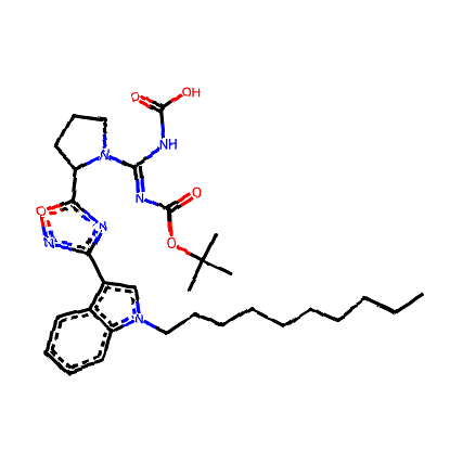 CCCCCCCCCCn1cc(-c2noc(C3CCCN3C(=NC(=O)OC(C)(C)C)NC(=O)O)n2)c2ccccc21